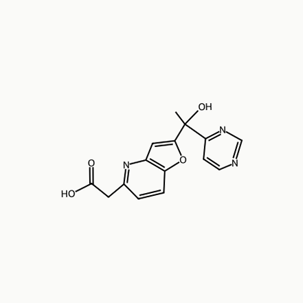 CC(O)(c1ccncn1)c1cc2nc(CC(=O)O)ccc2o1